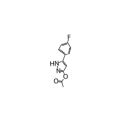 CC(=O)Oc1cc(-c2ccc(F)cc2)[nH]n1